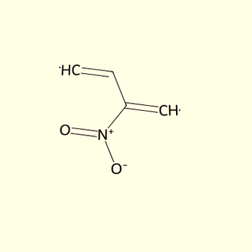 [CH]=CC(=[CH])[N+](=O)[O-]